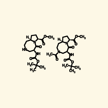 COC(=O)[C@@H]1CC[C@@H]2CCN(C(C)=O)C[C@H](NC(=O)OC(C)(C)C)C(=O)N21.COC(=O)[C@@H]1CC[C@@H]2CCNC[C@H](NC(=O)OC(C)(C)C)C(=O)N21